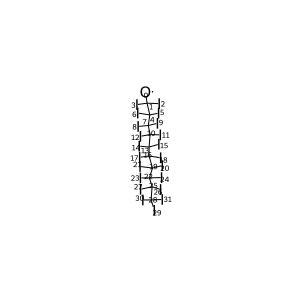 [O]C(I)(I)C(I)(I)C(I)(I)C(I)(I)C(I)(I)C(I)(I)C(I)(I)C(I)(I)C(I)(I)C(I)(I)I